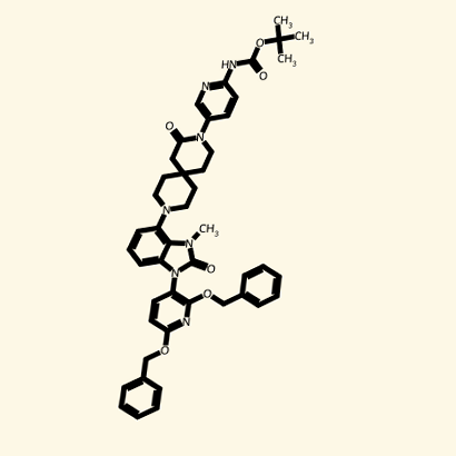 Cn1c(=O)n(-c2ccc(OCc3ccccc3)nc2OCc2ccccc2)c2cccc(N3CCC4(CC3)CCN(c3ccc(NC(=O)OC(C)(C)C)nc3)C(=O)C4)c21